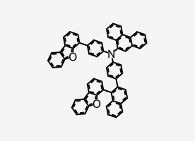 c1ccc2c(-c3cccc4c3oc3ccccc34)c(-c3ccc(N(c4ccc(-c5cccc6c5oc5ccccc56)cc4)c4cc5ccccc5c5ccccc45)cc3)ccc2c1